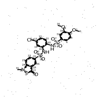 COc1ccc(S(=O)(=O)Nc2ccc(Cl)cc2NS(=O)(=O)c2ccc3c(c2)c(=O)sn3C)cc1OC